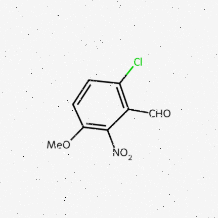 COc1ccc(Cl)c(C=O)c1[N+](=O)[O-]